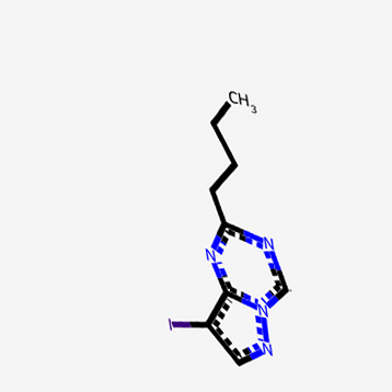 CCCCc1n[c]n2ncc(I)c2n1